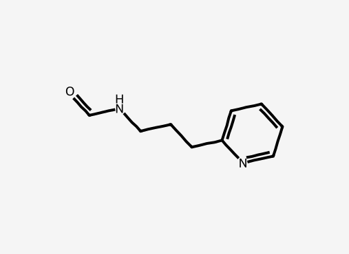 O=CNCCCc1ccccn1